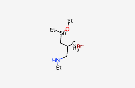 CCNCC(C)[CH2][Sn+]([CH2]C)[O]CC.[Br-]